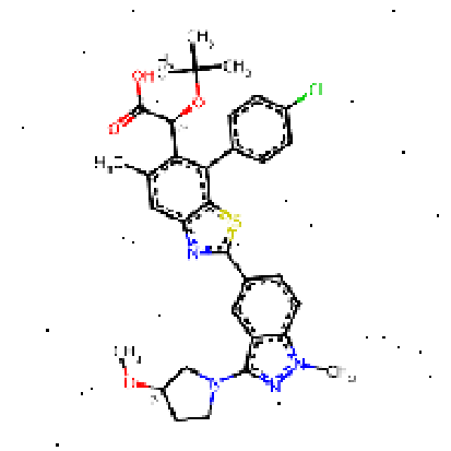 CO[C@@H]1CCN(c2nn(C)c3ccc(-c4nc5cc(C)c([C@H](OC(C)(C)C)C(=O)O)c(-c6ccc(Cl)cc6)c5s4)cc23)C1